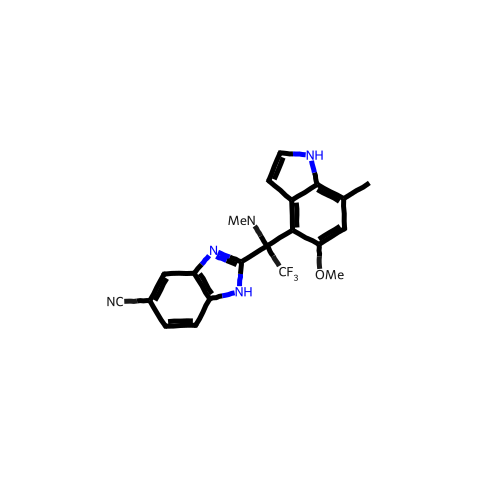 CNC(c1nc2cc(C#N)ccc2[nH]1)(c1c(OC)cc(C)c2[nH]ccc12)C(F)(F)F